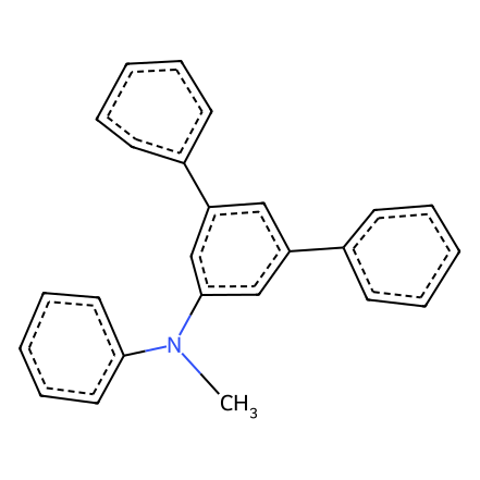 CN(c1ccccc1)c1cc(-c2ccccc2)cc(-c2ccccc2)c1